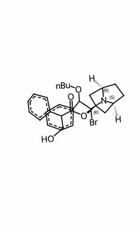 CCCCOC(c1ccccc1)C(Br)N1[C@@H]2CC[C@H]1C[C@@H](OC(=O)C(CO)c1ccccc1)C2